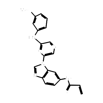 C=CC(=O)Nc1ccc2ncn(-c3cncc(Nc4cccc(OC)c4)n3)c2c1